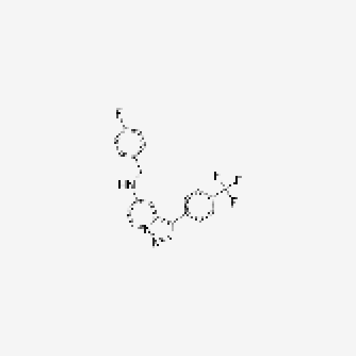 Fc1ccc(CNc2ccn3ncc(-c4ccc(C(F)(F)F)cc4)c3c2)cc1